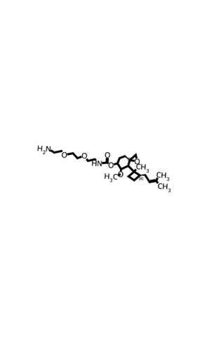 COC1C(OC(=O)NCCOCCOCCN)CC[C@]2(CO2)C1C1(C)CC[C@@H]1CC=C(C)C